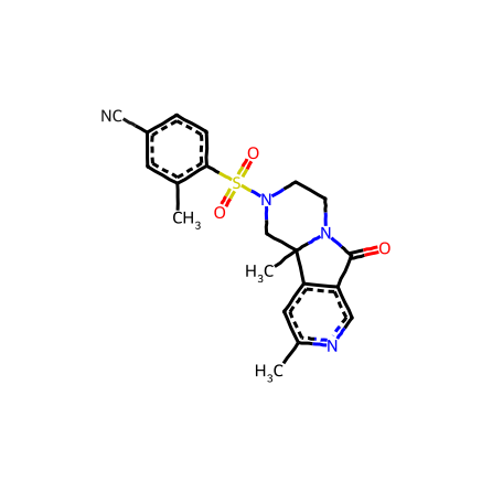 Cc1cc2c(cn1)C(=O)N1CCN(S(=O)(=O)c3ccc(C#N)cc3C)CC21C